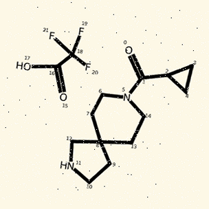 O=C(C1CC1)N1CCC2(CCNC2)CC1.O=C(O)C(F)(F)F